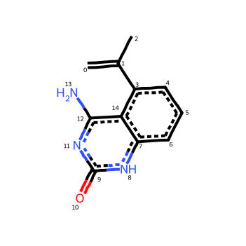 C=C(C)c1cccc2[nH]c(=O)nc(N)c12